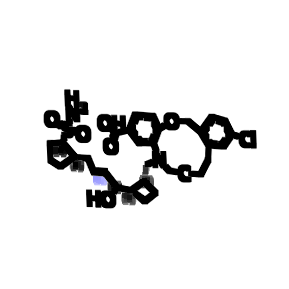 NS(=O)(=O)[C@@H]1CCC[C@@H]1C/C=C/[C@H](O)[C@@H]1CC[C@H]1CN1CCCCc2cc(Cl)ccc2COc2ccc(C(=O)O)cc21